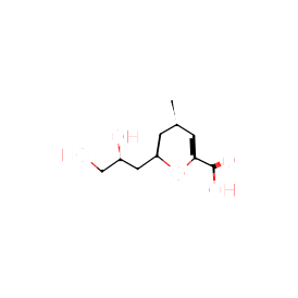 C[C@H]1C=C(C(=O)O)OC(C[C@H](O)CO)C1